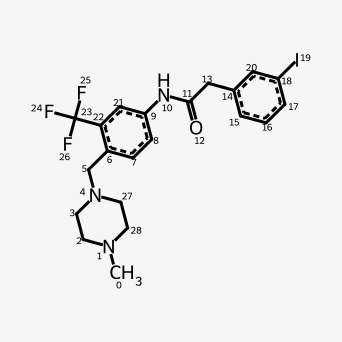 CN1CCN(Cc2ccc(NC(=O)Cc3cccc(I)c3)cc2C(F)(F)F)CC1